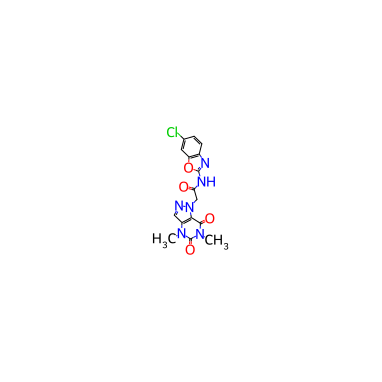 Cn1c(=O)c2c(cnn2CC(=O)Nc2nc3ccc(Cl)cc3o2)n(C)c1=O